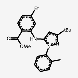 CCc1ccc(C(=O)OC)c(Nc2cc(C(C)(C)C)nn2-c2ccccc2C)c1